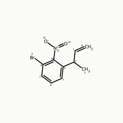 C=C[C](C)c1cccc(Br)c1[N+](=O)[O-]